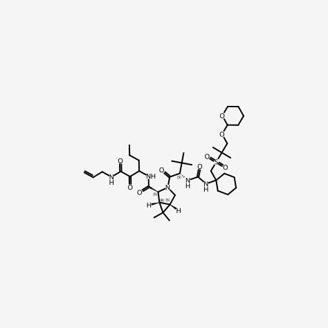 C=CCNC(=O)C(=O)C(CCC)NC(=O)[C@@H]1[C@@H]2[C@H](CN1C(=O)[C@@H](NC(=O)NC1(CS(=O)(=O)C(C)(C)COC3CCCCO3)CCCCC1)C(C)(C)C)C2(C)C